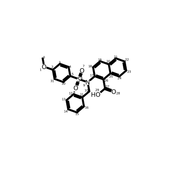 COc1ccc(S(=O)(=O)N(Cc2ccccc2)c2ccc3ccccc3c2C(=O)O)cc1